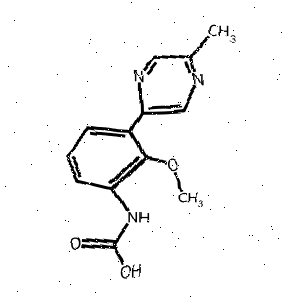 COc1c(NC(=O)O)cccc1-c1cnc(C)cn1